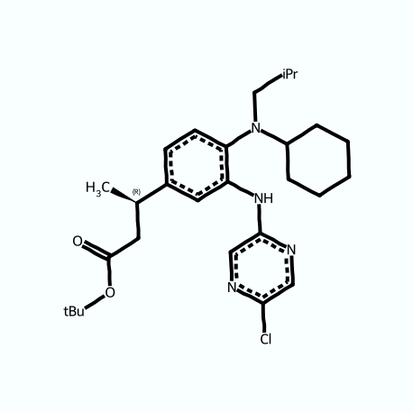 CC(C)CN(c1ccc([C@H](C)CC(=O)OC(C)(C)C)cc1Nc1cnc(Cl)cn1)C1CCCCC1